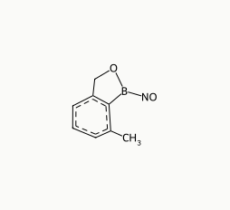 Cc1cccc2c1B(N=O)OC2